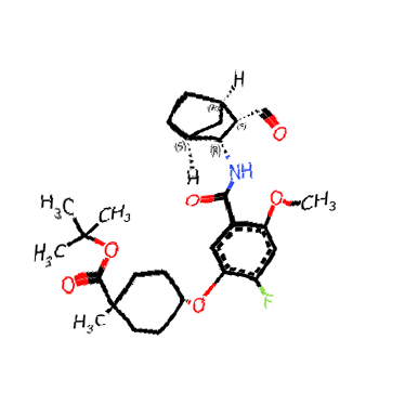 COc1cc(F)c(O[C@H]2CC[C@@](C)(C(=O)OC(C)(C)C)CC2)cc1C(=O)N[C@@H]1[C@H]2CC[C@H](C2)[C@@H]1C=O